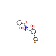 O=C(NN=Cc1cc(-c2ccsc2)ccc1O)c1ccccc1O